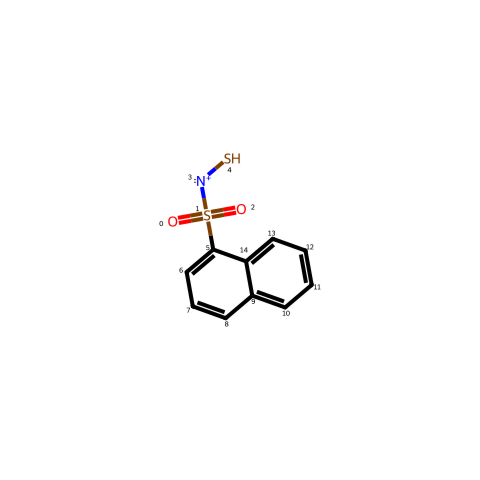 O=S(=O)([N+]S)c1cccc2ccccc12